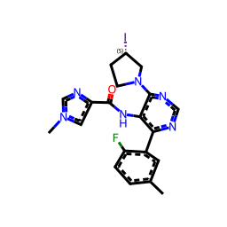 Cc1ccc(F)c(-c2ncnc(N3CC[C@H](I)C3)c2NC(=O)c2cn(C)cn2)c1